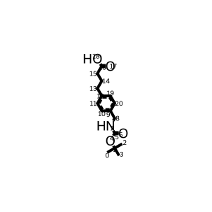 CC(C)(C)OC(=O)NCc1ccc(CCCC(=O)O)cc1